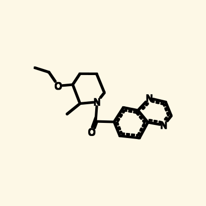 CCOC1CCCN(C(=O)c2ccc3nccnc3c2)C1C